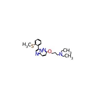 CCN(CC)CCCOc1ccc2ncc(-c3ccccc3SC)n2n1